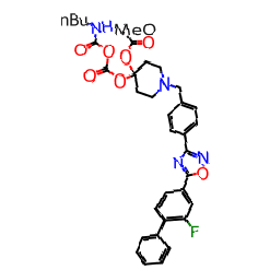 CCCCNC(=O)OC(=O)OC1(OC(=O)OC)CCN(Cc2ccc(-c3noc(-c4ccc(-c5ccccc5)c(F)c4)n3)cc2)CC1